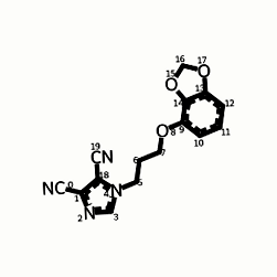 N#Cc1ncn(CCCOc2cccc3c2OCO3)c1C#N